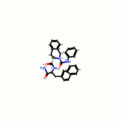 NC(=O)C(Cc1ccc2ccccc2c1)NC(=O)[C@@H]1Cc2ccccc2CN1C(=O)Nc1ccccc1